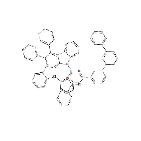 C1=CC(c2c(-c3ccccc3)c3c4ccccc4n(-c4ccccc4)c3c3c2c2ccccc2n3-c2nc(-c3ccccc3)nc(-c3cccc(-c4cccc(-c5ccccc5)c4)c3)n2)=CCC1